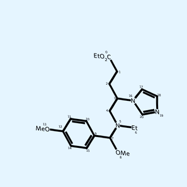 CCOC(=O)CCC(CN(CC)C(OC)c1ccc(OC)cc1)n1ccnc1